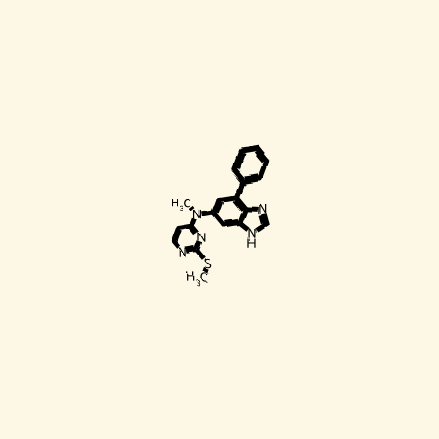 CSc1nccc(N(C)c2cc(-c3ccccc3)c3nc[nH]c3c2)n1